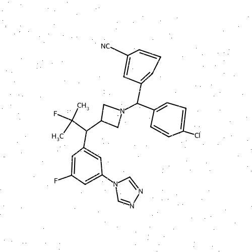 CC(C)(F)C(c1cc(F)cc(-n2cnnc2)c1)C1CN(C(c2ccc(Cl)cc2)c2cccc(C#N)c2)C1